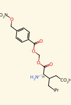 CC(C)CC(CC(=O)O)[C@H](N)C(=O)OCOC(=O)c1ccc(CO[N+](=O)[O-])cc1